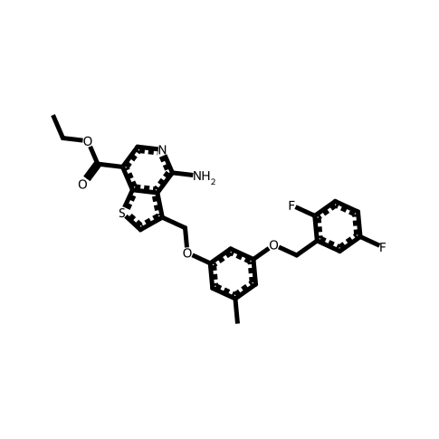 CCOC(=O)c1cnc(N)c2c(COc3cc(C)cc(OCc4cc(F)ccc4F)c3)csc12